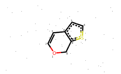 [CH]1OC=Cc2ccsc21